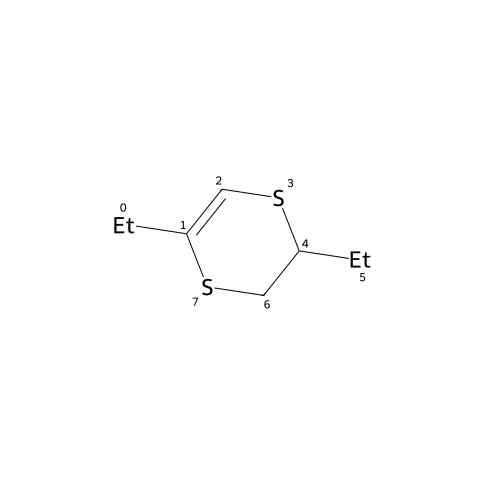 CCC1=CSC(CC)CS1